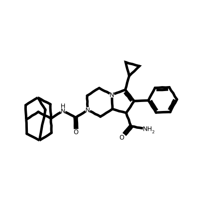 NC(=O)C1C(c2ccccc2)=C(C2CC2)N2CCN(C(=O)NC34CC5CC(CC(C5)C3)C4)CC12